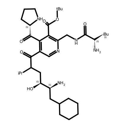 CC[C@H](C)[C@H](N)C(=O)NCc1ncc(C(=O)C(C[C@H](O)[C@@H](N)CC2CCCCC2)C(C)C)c(C(=O)[C@@H]2CCCN2)c1C(=O)OC(C)(C)C